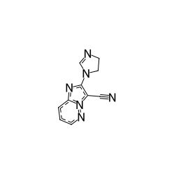 N#Cc1c(N2C=NCC2)nc2cccnn12